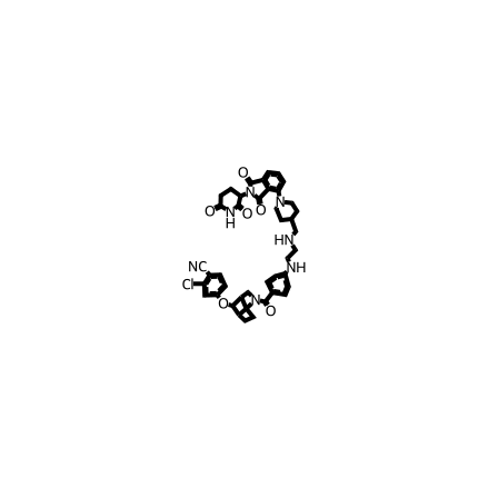 N#Cc1ccc(OC2C3CCC34C2CN4C(=O)c2ccc(NCCNCC3CCN(c4cccc5c4C(=O)N(C4CCC(=O)NC4=O)C5=O)CC3)cc2)cc1Cl